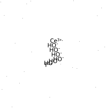 [Ce+3].[OH-].[OH-].[OH-].[OH-].[OH-].[OH-].[Y+3]